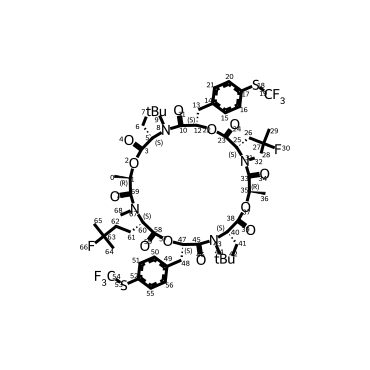 C[C@H]1OC(=O)[C@H](CC(C)(C)C)N(C)C(=O)[C@H](Cc2ccc(SC(F)(F)F)cc2)OC(=O)[C@H](CC(C)(C)F)N(C)C(=O)[C@@H](C)OC(=O)[C@H](CC(C)(C)C)N(C)C(=O)[C@H](Cc2ccc(SC(F)(F)F)cc2)OC(=O)[C@H](CCC(C)(C)F)N(C)C1=O